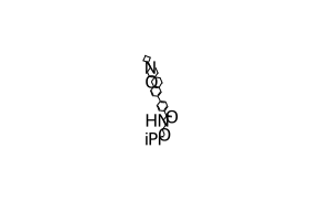 CC(C)OCCNC(=O)c1ccc(-c2ccc3c(c2)CCC2(CCN(C4CCC4)CC2)O3)cc1